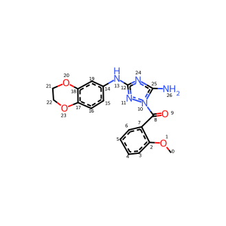 COc1ccccc1C(=O)n1nc(Nc2ccc3c(c2)OCCO3)nc1N